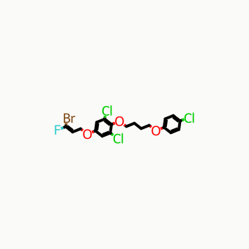 FC(Br)=CCOc1cc(Cl)c(OCCCCOc2ccc(Cl)cc2)c(Cl)c1